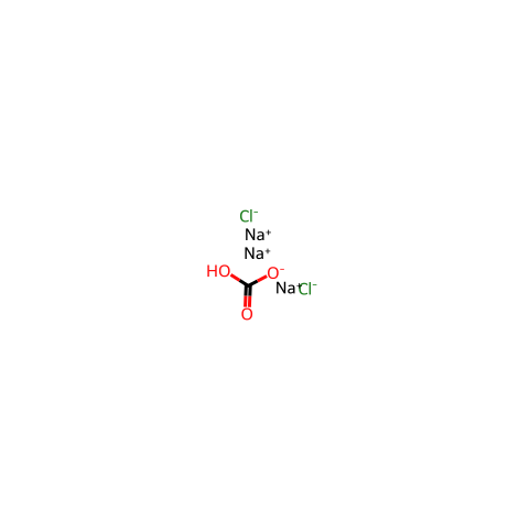 O=C([O-])O.[Cl-].[Cl-].[Na+].[Na+].[Na+]